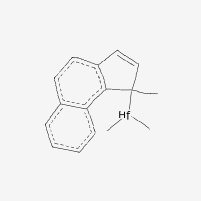 [CH3][Hf]([CH3])[C]1(C)C=Cc2ccc3ccccc3c21